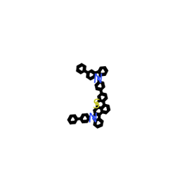 c1ccc(-c2ccc(-n3c4ccccc4c4c5cccc6c5c(cc43)Sc3cc(-c4ccc(-n5c7ccccc7c7cc(-c8ccccc8)ccc75)cc4)ccc3-6)cc2)cc1